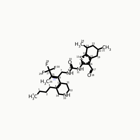 CCCCC1=C(/C(CNC(=O)Nc2sc3c(c2C=O)CC(C)CC3C)=C(\C)C(F)(F)F)CCNC1